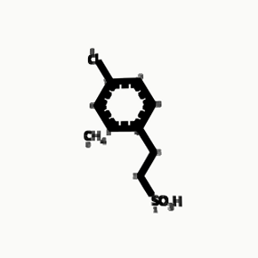 C.O=S(=O)(O)CCc1ccc(Cl)cc1